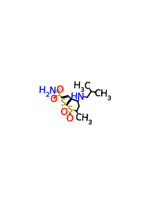 CC(C)CNC1CC(C)S(=O)(=O)c2sc(S(N)(=O)=O)cc21